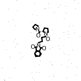 O=C([C@@H]1CCCN1C(=O)CCCN1C(=O)c2ccccc2C1=O)N1CCCC1